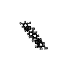 Cc1cc(C)c2oc(-c3ccc4c(C)c(-c5nc6cc(C)cc(C)c6o5)ccc4c3C)nc2c1